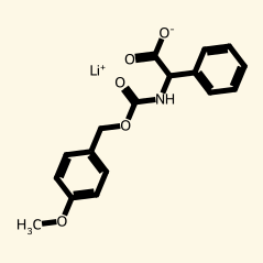 COc1ccc(COC(=O)NC(C(=O)[O-])c2ccccc2)cc1.[Li+]